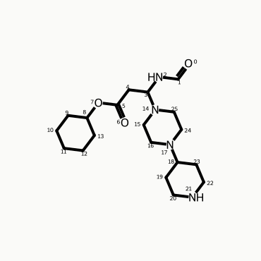 O=CNC(CC(=O)OC1CCCCC1)N1CCN(C2CCNCC2)CC1